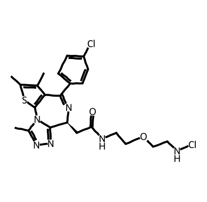 Cc1sc2c(c1C)C(c1ccc(Cl)cc1)=N[C@@H](CC(=O)NCCOCCNCl)c1nnc(C)n1-2